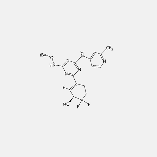 CC(C)(C)ONc1nc(Nc2ccnc(C(F)(F)F)c2)nc(C2=C(F)[C@H](O)C(F)(F)CC2)n1